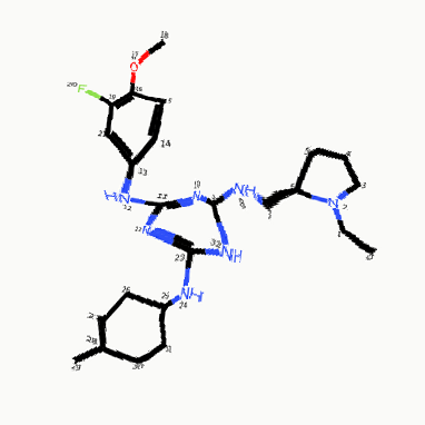 CCN1CCCC1CNC1N=C(Nc2ccc(OC)c(F)c2)N=C(NC2CCC(C)CC2)N1